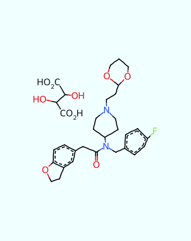 O=C(Cc1ccc2c(c1)CCO2)N(Cc1ccc(F)cc1)C1CCN(CCC2OCCCO2)CC1.O=C(O)C(O)C(O)C(=O)O